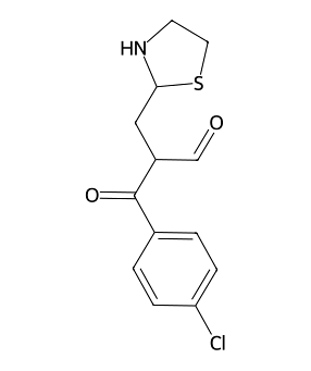 O=CC(CC1NCCS1)C(=O)c1ccc(Cl)cc1